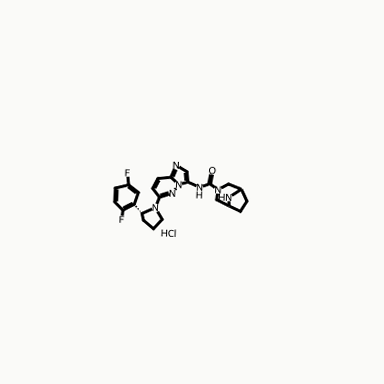 Cl.O=C(Nc1cnc2ccc(N3CCC[C@@H]3c3cc(F)ccc3F)nn12)N1CC2CCC(C1)N2